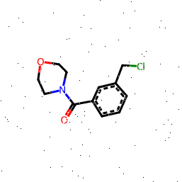 O=C(c1cccc(CCl)c1)N1CCOCC1